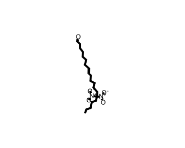 CCCCCC(CCCCCC=CCCCCCCC=O)([N+](=O)[O-])[N+](=O)[O-]